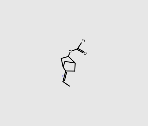 C/C=C1\CC2CC1CC2OC(=O)CC